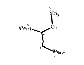 CCCC(C)CC(O[SiH3])C(C)CCC